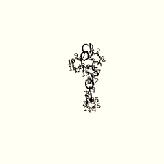 Clc1cccc2c1Oc1ccccc1-c1cc(COCCN3CCCCC3)sc1-2